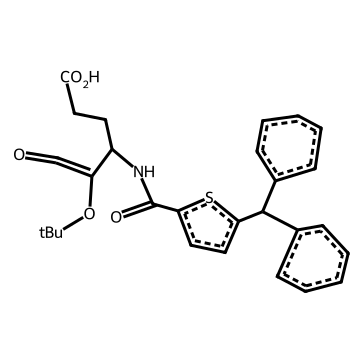 CC(C)(C)OC(=C=O)C(CCC(=O)O)NC(=O)c1ccc(C(c2ccccc2)c2ccccc2)s1